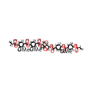 C=CC(=O)Oc1ccc(C(=O)Oc2ccc(C(=O)O[C@@H]3CO[C@@H]4C(OC(=O)c5ccc(OC(=O)c6ccc(OC(=O)C=C)c(OC)c6)c(OC)c5)COC43)cc2OC)cc1